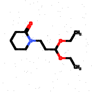 CCOC(CCN1CCCCC1=O)OCC